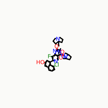 CC(C)(C)OC(=O)N1C2CCC1CN(c1nc(OCC34CCCN3CCC4)nc3c(F)c(-c4cc(O)cc5cccc(Cl)c45)ncc13)C2